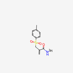 [2H]NC(=O)C(=C)CS(=O)(=O)c1ccc(C)cc1